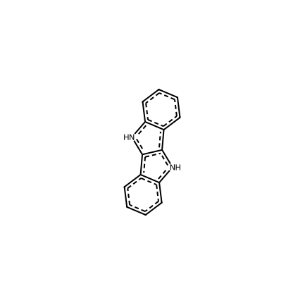 c1ccc2c(c1)[nH]c1c3ccccc3[nH]c21